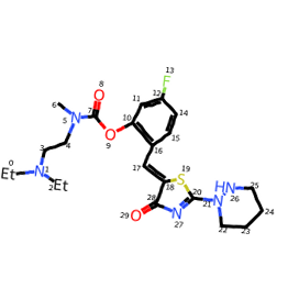 CCN(CC)CCN(C)C(=O)Oc1cc(F)ccc1C=C1SC(N2CCCCN2)=NC1=O